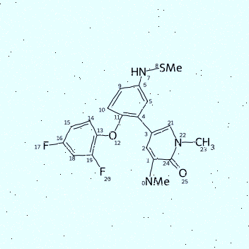 CNc1cc(-c2cc(NSC)ccc2Oc2ccc(F)cc2F)cn(C)c1=O